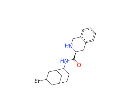 CCC1CC2CCC(NC(=O)[C@@H]3Cc4ccccc4CN3)C(C1)C2